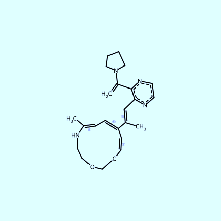 C=C(c1nccnc1/C=C(C)/C1=C/C=C(\C)NCCOCC/C=C\1)N1CCCC1